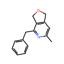 Cc1[c]c2c(c(Cc3ccccc3)n1)COC2